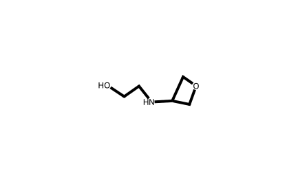 OCCNC1COC1